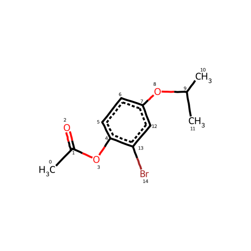 CC(=O)Oc1ccc(OC(C)C)cc1Br